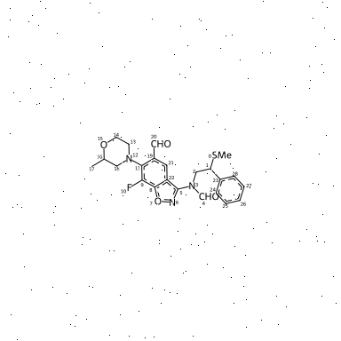 CSC(CN(C=O)c1noc2c(F)c(N3CCOC(C)C3)c(C=O)cc12)c1ccccc1